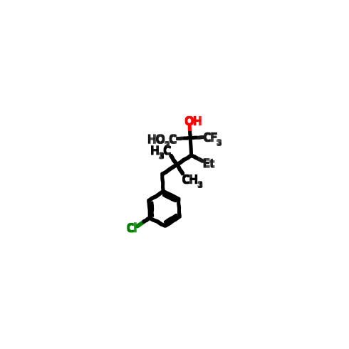 CCC(C(C)(C)Cc1cccc(Cl)c1)C(O)(C(=O)O)C(F)(F)F